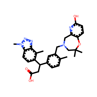 Cc1ccc(C(CC(=O)O)c2ccc3c(nnn3C)c2C)cc1CN1Cc2nc(O)ccc2OC(C)(C)C1